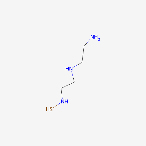 NCCNCCNS